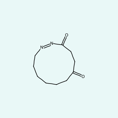 O=C1CCCCCCN=NC(=O)CC1